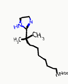 CCCCCCCCCCCCCCCC(C)(C)C1=NCCN1